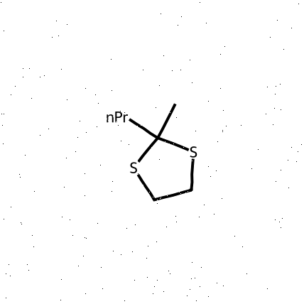 [CH2]CCC1(C)SCCS1